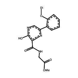 CCOc1ccccc1-c1cnc(O)c(C(=O)NCC(=O)OC)n1